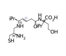 CC(C)[C@@H](/C=C/CC(=O)N[C@@](CCO)(C(=O)O)C(C)C)NC[C@@H](N)CS